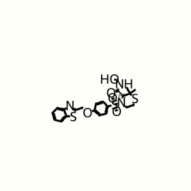 CC1(C)SCCN(S(=O)(=O)c2ccc(OCc3nc4ccccc4s3)cc2)[C@H]1C(=O)NO